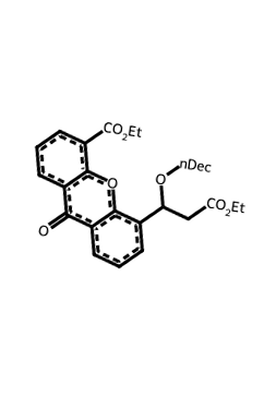 CCCCCCCCCCOC(CC(=O)OCC)c1cccc2c(=O)c3cccc(C(=O)OCC)c3oc12